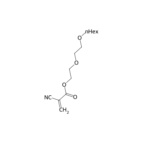 C=C(C#N)C(=O)OCCOCCOCCCCCC